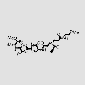 C#CC(=O)N(CCC(=O)NCCOC)CCC(=O)N[C@@H](C)C(=O)N(C)[C@H](C(=O)N[C@H](C(=O)N(C)[C@@H]([C@@H](C)CC)[C@@H](CC)OC)C(C)C)C(C)C